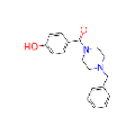 O=C(c1ccc(O)cc1)N1CCN(Cc2ccccc2)CC1